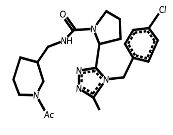 CC(=O)N1CCCC(CNC(=O)N2CCCC2c2nnc(C)n2Cc2ccc(Cl)cc2)C1